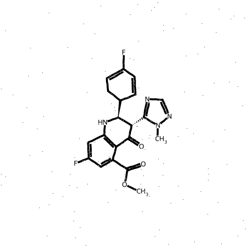 COC(=O)c1cc(F)cc2c1C(=O)[C@@H](c1ncnn1C)[C@H](C1C=CC(F)=CC1)N2